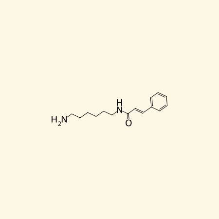 NCCCCCCNC(=O)/C=C/c1ccccc1